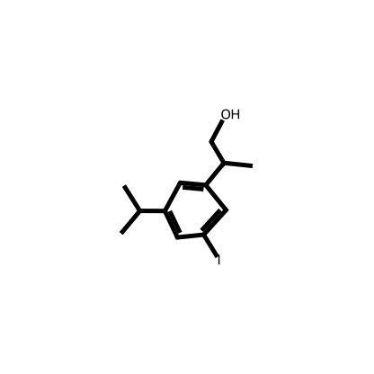 C[C](CO)c1cc(I)cc(C(C)C)c1